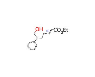 CCOC(=O)/C=C/CCC(CO)c1ccccc1